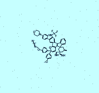 C=C1CC(C=N)(C=N)CC2(C1)c1ccccc1-c1c2c2c(c3cc(-c4ccc(N5CCOCC5)cc4)c(NC(F)(F)F)cc13)OC(c1ccc(OC)cc1)(c1ccc(OCN=[N+]=[N-])cc1)C=C2